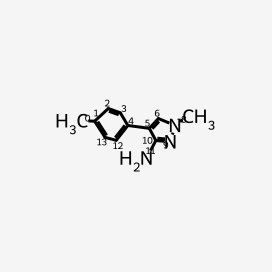 Cc1ccc(-c2cn(C)nc2N)cc1